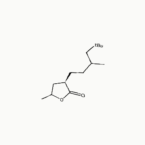 CC(CC[C@@H]1CC(C)OC1=O)CC(C)(C)C